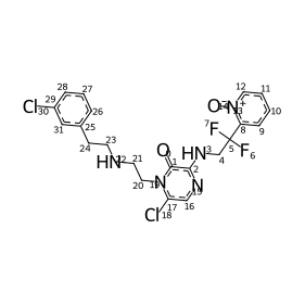 O=c1c(NCC(F)(F)c2cccc[n+]2[O-])ncc(Cl)n1CCNCCc1cccc(Cl)c1